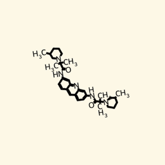 CC1CCCN(C(C)(C)C(=O)Nc2ccc3cc4ccc(NC(=O)C(C)(C)N5CCCC(C)C5)cc4nc3c2)C1